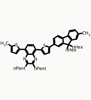 CCCCCCC1(CCCCCC)c2cc(C)ccc2-c2ccc(-c3ccc(-c4ccc(-c5ccc(C)s5)c5nc(CCCCC)c(CCCCC)nc45)s3)cc21